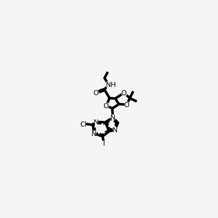 CCNC(=O)C1OC(n2cnc3c(I)nc(Cl)nc32)C2OC(C)(C)OC12